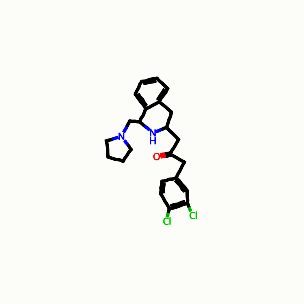 O=C(Cc1ccc(Cl)c(Cl)c1)CC1Cc2ccccc2C(CN2CCCC2)N1